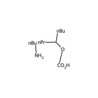 CCCCC(CCC)OC(=O)O.CCCCN